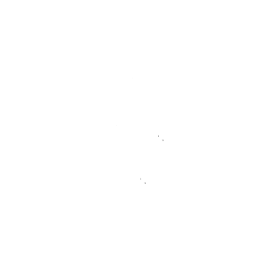 O=C(O)c1cnc2[nH]ccc2c1